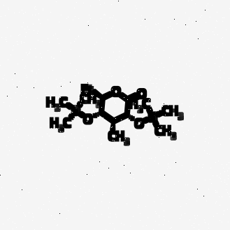 CC[C@H]1OC(=O)[C@H](O[Si](C)(C)C)[C@@H](C)[C@@H]1O[Si](C)(C)C